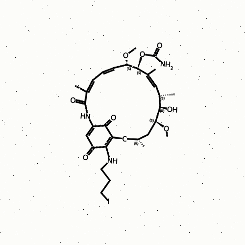 CO[C@H]1C=CC=C(C)C(=O)NC2=CC(=O)C(NCCCI)=C(C[C@@H](C)C[C@H](OC)[C@H](O)[C@@H](C)C=C(C)[C@@H]1OC(N)=O)C2=O